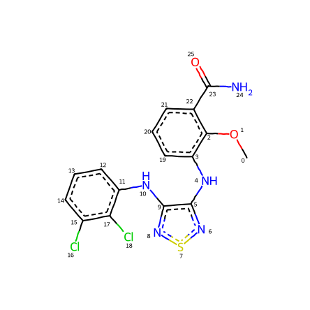 COc1c(Nc2nsnc2Nc2cccc(Cl)c2Cl)cccc1C(N)=O